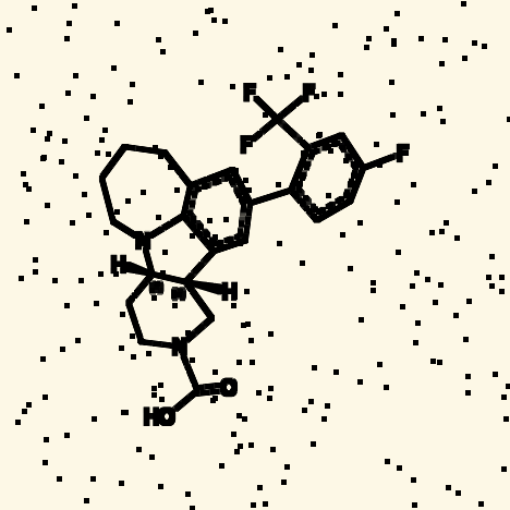 O=C(O)N1CC[C@H]2[C@@H](C1)c1cc(-c3ccc(F)cc3C(F)(F)F)cc3c1N2CCCC3